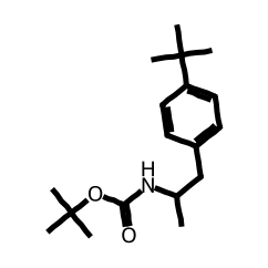 CC(Cc1ccc(C(C)(C)C)cc1)NC(=O)OC(C)(C)C